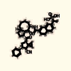 N#C[C@@H]1[C@@H](c2ccccc2)CN(C(=O)[C@@H]2CC[C@@H]3CCCC[C@H](NC(=O)c4ccc5ccc(C(F)P(=O)(O)O)cc5c4)C(=O)N32)C12CC2